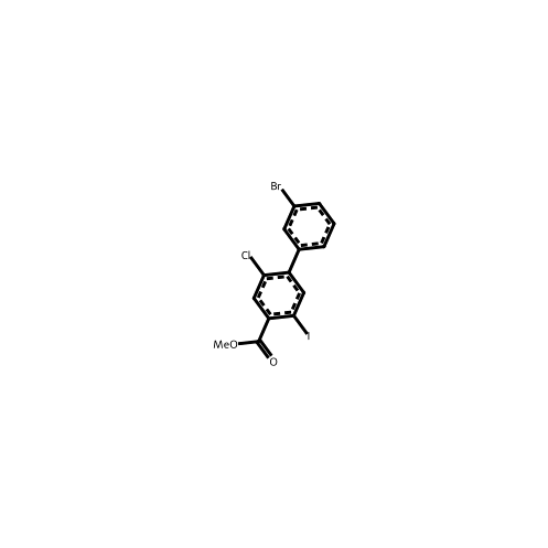 COC(=O)c1cc(Cl)c(-c2cccc(Br)c2)cc1I